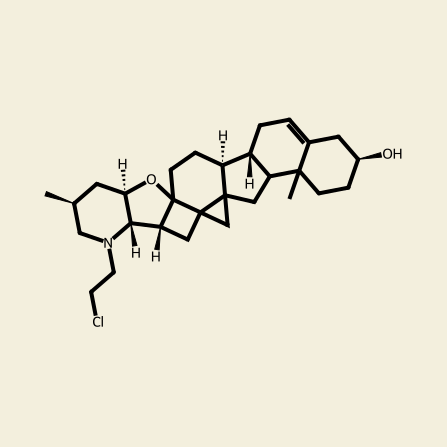 C[C@H]1C[C@H]2OC34CC[C@H]5[C@@H]6CC=C7C[C@@H](O)CCC7(C)C6CC56CC63C[C@@H]4[C@@H]2N(CCCl)C1